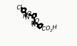 O=C(O)c1ccc(-c2nnc(-c3cccc(-c4nnc(-c5ccc(Cl)cc5)o4)c3)o2)cc1